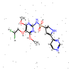 COc1nc(NS(=O)(=O)c2c[nH]c(-c3ccncn3)c2)nc(OC)c1OCC(F)F